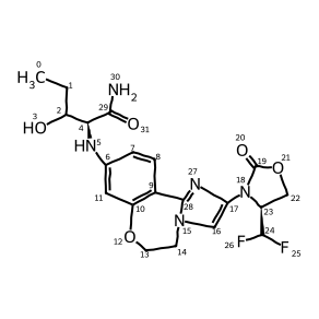 CCC(O)[C@H](Nc1ccc2c(c1)OCCn1cc(N3C(=O)OC[C@H]3C(F)F)nc1-2)C(N)=O